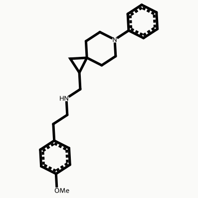 COc1ccc(CCNCC2CC23CCN(c2ccccc2)CC3)cc1